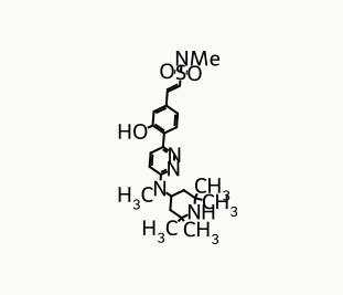 CNS(=O)(=O)/C=C/c1ccc(-c2ccc(N(C)C3CC(C)(C)NC(C)(C)C3)nn2)c(O)c1